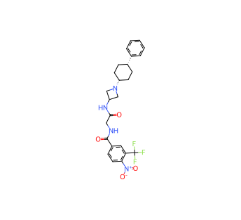 O=C(CNC(=O)c1ccc([N+](=O)[O-])c(C(F)(F)F)c1)NC1CN([C@H]2CC[C@@H](c3ccccc3)CC2)C1